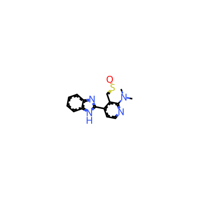 CN(C)c1nccc(-c2nc3ccccc3[nH]2)c1C=S=O